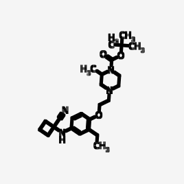 CCc1cc(NC2(C#N)CCC2)ccc1OCCN1CCN(C(=O)OC(C)(C)C)C(C)C1